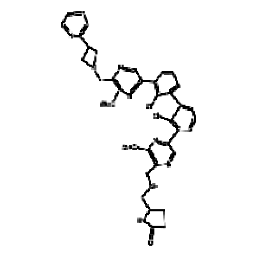 COc1nc(-c2cccc(-c3cccc(-c4cnc(CN5CC(c6ccccn6)C5)c(OC)n4)c3Cl)c2Cl)cnc1CNCC1CCC(=O)N1